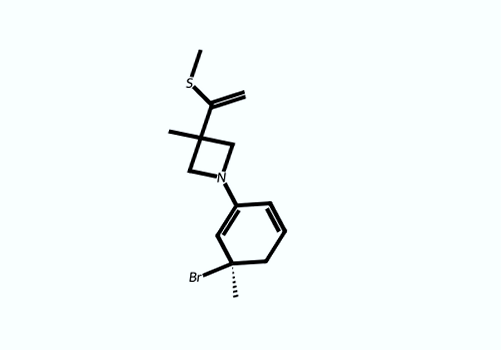 C=C(SC)C1(C)CN(C2=C[C@](C)(Br)CC=C2)C1